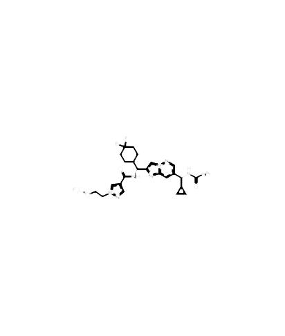 CCCC(=O)N[C@@H](c1cnn2cc([C@@H](NC(=O)c3cnn(CCOC(F)(F)F)c3)C3CCC(F)(F)CC3)nc2c1)C1CC1